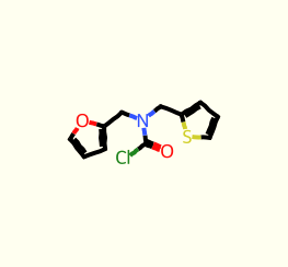 O=C(Cl)N(Cc1ccco1)Cc1cccs1